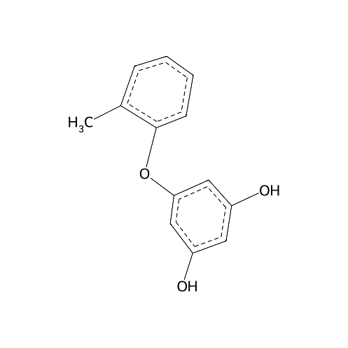 Cc1ccccc1Oc1cc(O)cc(O)c1